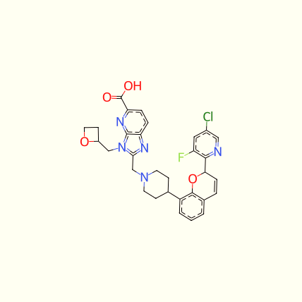 O=C(O)c1ccc2nc(CN3CCC(c4cccc5c4OC(c4ncc(Cl)cc4F)C=C5)CC3)n(CC3CCO3)c2n1